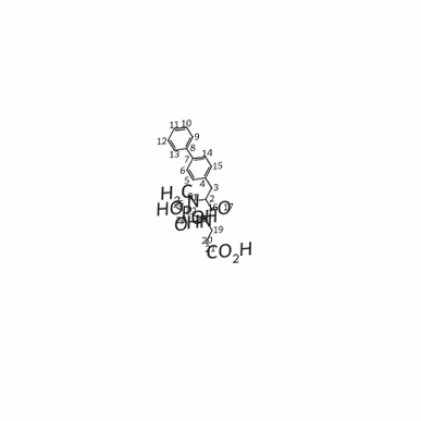 CN(C(Cc1ccc(-c2ccccc2)cc1)C(=O)NCCC(=O)O)P(=O)(O)O